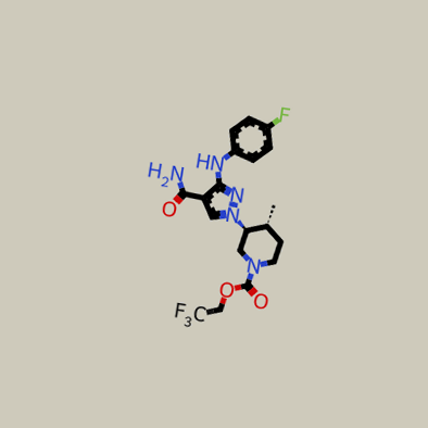 C[C@@H]1CCN(C(=O)OCC(F)(F)F)C[C@H]1n1cc(C(N)=O)c(Nc2ccc(F)cc2)n1